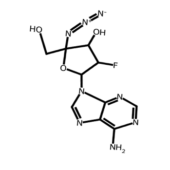 [N-]=[N+]=NC1(CO)OC(n2cnc3c(N)ncnc32)C(F)C1O